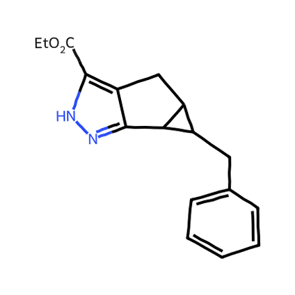 CCOC(=O)c1[nH]nc2c1CC1C(Cc3ccccc3)C21